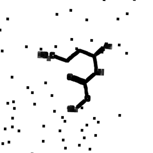 CC(=O)[C@H](CCC(=O)O)NC(=O)OC(C)(C)C